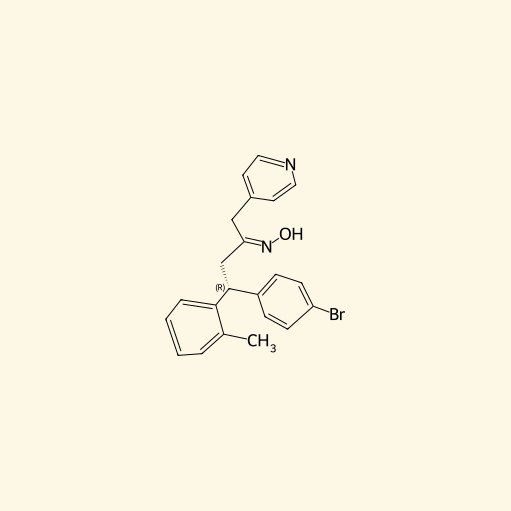 Cc1ccccc1[C@H](CC(Cc1ccncc1)=NO)c1ccc(Br)cc1